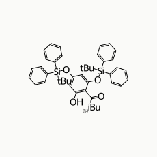 CC[C@H](C)C(=O)c1c(O)cc(O[Si](c2ccccc2)(c2ccccc2)C(C)(C)C)cc1O[Si](c1ccccc1)(c1ccccc1)C(C)(C)C